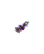 O=C(NC1C[C@H]2CC[C@@H](C1)N2S(=O)(=O)N1C[C@H]2CC(NCc3ccc(F)cc3)C[C@H]2C1)c1cc(C2COC2)on1